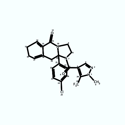 Cn1ncc(C(=O)N2CCN3C(=O)C4=CCCC=C4CC32c2ccc(Cl)cc2)c1C(F)(F)F